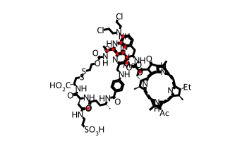 CC[C@H]1c2cc3[nH]c4c(c3C)C(=O)C(C(=O)OC)c4c3nc(cc4[nH]c(cc(n2)[C@@H]1C)c(C(C)=O)c4C)[C@@H](C)[C@@H]3CCC(=O)NC(Cc1ccc(N(CCCl)CCCl)cc1)C(=O)NCCC(C)NC(=O)OCCSSC[C@H](NC(=O)[C@H](CC(=O)NCCS(=O)(=O)O)NC(=O)CC[C@@H](C)NC(=O)c1ccc(NCc2cnc3nc(N)[nH]c(=O)c3n2)cc1)C(=O)O